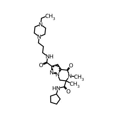 CCN1CCN(CCCNC(=O)c2cc3n(n2)CC(C)(C(=O)NC2CCCC2)N(C)C3=O)CC1